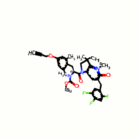 C#CCOc1cc(C)c(C[C@H](NC(=O)OC(C)(C)C)C(=O)N2CC(C)(C)c3c2cc(Cc2cc(F)c(F)cc2F)c(=O)n3C)c(C)c1